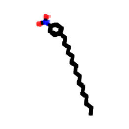 CCCCCCCCCCCCCCCCc1ccc([N+](=O)[O-])cc1